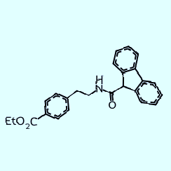 CCOC(=O)c1ccc(CCNC(=O)C2c3ccccc3-c3ccccc32)cc1